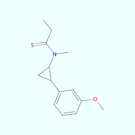 CCC(=S)N(C)C1CC1c1cccc(OC)c1